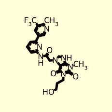 Cc1ncc(-c2cccc(NC(=O)CN3CNc4c3c(=O)n(CCCO)c(=O)n4C)n2)cc1C(F)(F)F